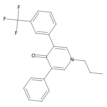 CCCn1cc(-c2ccccc2)c(=O)c(-c2cccc(C(F)(F)F)c2)c1